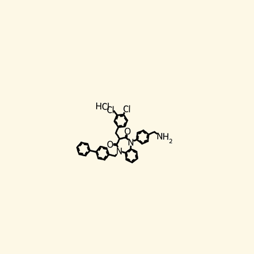 Cl.NCc1ccc(N2C(=O)C(Cc3ccc(Cl)c(Cl)c3)C(=O)N(Cc3ccc(-c4ccccc4)cc3)c3ccccc32)cc1